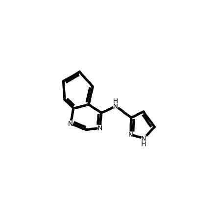 c1ccc2c(Nc3cc[nH]n3)ncnc2c1